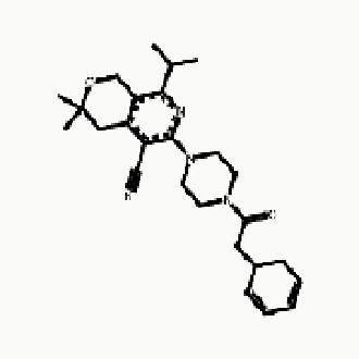 CC(C)c1nc(N2CCN(C(=O)CC3C=CC=CC3)CC2)c(C#N)c2c1COC(C)(C)C2